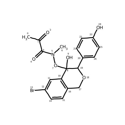 CC(=O)C(=O)N(C)OC1(O)c2cc(Br)ccc2COC1c1ccc(O)cc1